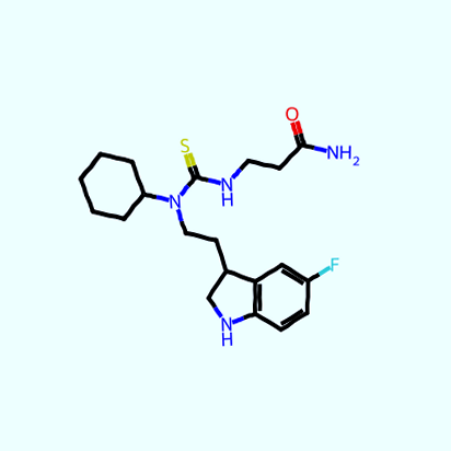 NC(=O)CCNC(=S)N(CCC1CNc2ccc(F)cc21)C1CCCCC1